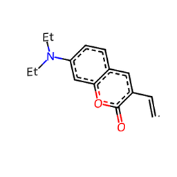 [CH]=Cc1cc2ccc(N(CC)CC)cc2oc1=O